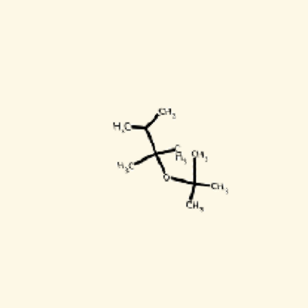 CC(C)C(C)(C)OC(C)(C)C